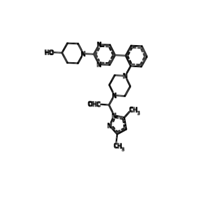 Cc1cc(C)n(C(C=O)N2CCN(c3ccccc3-c3cnc(N4CCC(O)CC4)nc3)CC2)n1